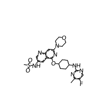 Cc1nc(NC2CCC(Oc3nc(N4CCOCC4)cc4ncc(NS(C)(=O)=O)cc34)CC2)ncc1F